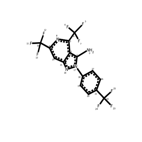 Nc1c2c(C(F)(F)F)nc(C(F)(F)F)cc2nn1-c1ccc(C(F)(F)F)cc1